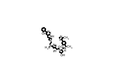 Cc1ncsc1-c1ccc([C@H](C)NC(=O)[C@@H]2C[C@@H](O)CN2C(=O)[C@@H](c2cc(N(C)CCN3CC4(Cc5cc(-c6ccccc6O)nnc5N4)C3)no2)C(C)C)cc1